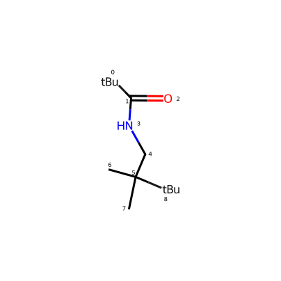 CC(C)(C)C(=O)NCC(C)(C)C(C)(C)C